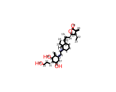 C=C1/C(=C\C=C2/CCC[C@]3(C)[C@@H]([C@H](C)C[C@H]4OC(=O)C(=C)[C@H]4CC)CC[C@@H]23)C[C@@H](O)[C@H](CCCO)[C@@H]1O